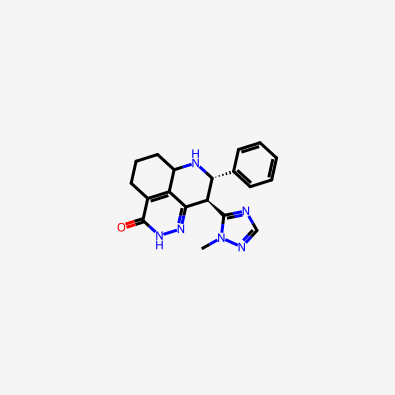 Cn1ncnc1[C@H]1c2n[nH]c(=O)c3c2C(CCC3)N[C@@H]1c1ccccc1